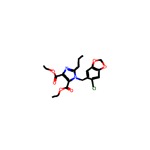 CCCc1nc(C(=O)OCC)c(C(=O)OCC)n1Cc1cc2c(cc1Cl)OCO2